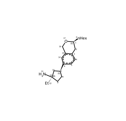 CCCCCC[C@H]1Cc2ccc([C@H]3CC[C@](N)(CC)C3)cc2CO1